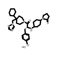 Cl.O=C([C@@H](Cc1ccc(Cl)cc1)NC1CCC(N2CCCC2=O)CC1)N1CCC(Cn2cncn2)(C2CCCCC2)CC1